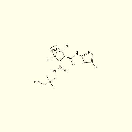 CC(C)(CN)CNC(=O)[C@H]1[C@H](C(=O)Nc2ncc(Br)s2)[C@@H]2C=C[C@H]1C21CC1